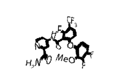 COc1c(Oc2ccc(C(F)(F)F)c(F)c2C(=O)Nc2ccnc(C(N)=O)c2)ccc(F)c1F